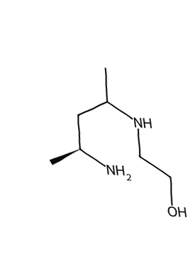 CC(C[C@H](C)N)NCCO